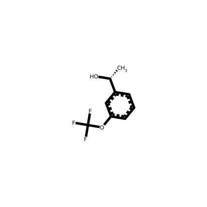 C[C@@H](O)c1cccc(OC(F)(F)F)c1